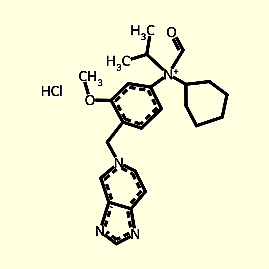 COc1cc([N+](C=O)(C(C)C)C2CCCCC2)ccc1Cn1ccc2ncnc-2c1.Cl